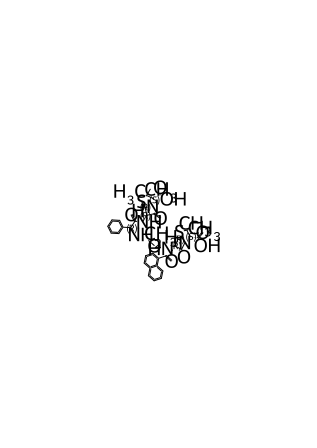 CC1(C)S[C@@H]2[C@H](NC(=O)[C@H](N)c3ccccc3)C(=O)N2[C@H]1C(=O)O.CCOc1ccc2ccccc2c1C(=O)N[C@@H]1C(=O)N2[C@@H]1SC(C)(C)[C@@H]2C(=O)O